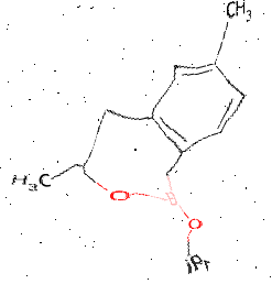 Cc1ccc2c(c1)CC(C)OB2OC(C)C